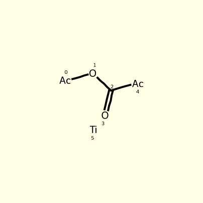 CC(=O)OC(=O)C(C)=O.[Ti]